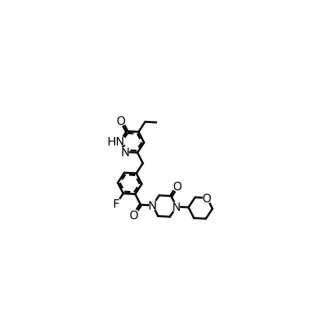 CCc1cc(Cc2ccc(F)c(C(=O)N3CCN(C4CCCOC4)C(=O)C3)c2)n[nH]c1=O